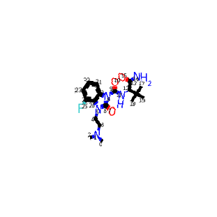 CN(C)CCn1c(=O)n(C(=O)N[C@H](C(N)=O)C(C)(C)C)c2cccc(F)c21